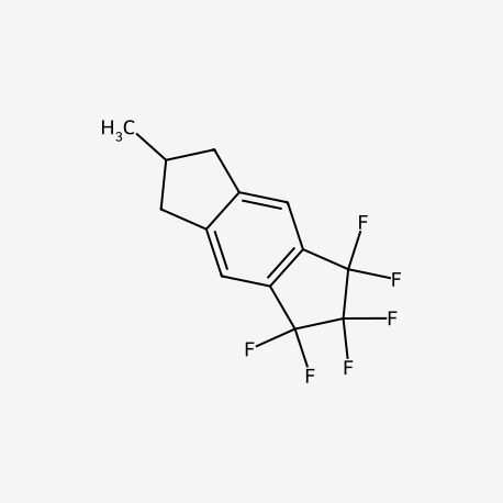 CC1Cc2cc3c(cc2C1)C(F)(F)C(F)(F)C3(F)F